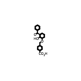 O=C(O)c1ccc(COc2cccc(C(=O)c3ccccc3)c2O)cc1